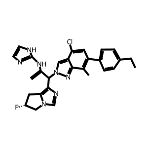 C=C(Nc1ncc[nH]1)C(c1ncn2c1C[C@@H](F)C2)n1cc2c(Cl)cc(-c3ccc(CC)cc3)c(C)c2n1